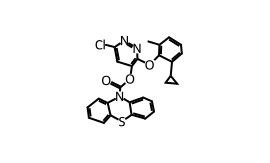 Cc1cccc(C2CC2)c1Oc1nnc(Cl)cc1OC(=O)N1c2ccccc2Sc2ccccc21